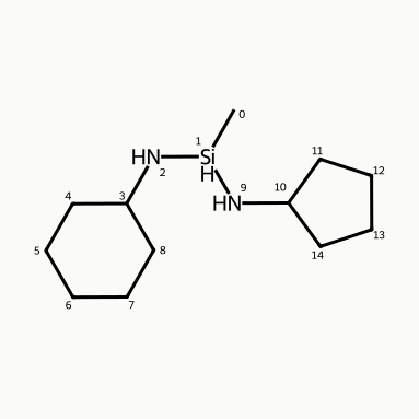 C[SiH](NC1CCCCC1)NC1CCCC1